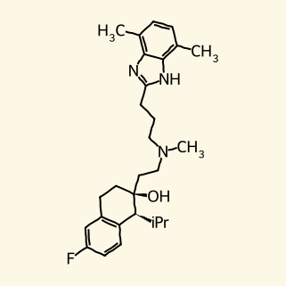 Cc1ccc(C)c2[nH]c(CCCN(C)CC[C@@]3(O)CCc4cc(F)ccc4[C@@H]3C(C)C)nc12